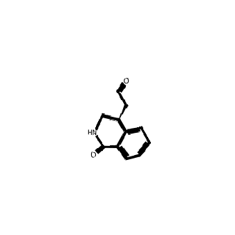 O=CC[C@@H]1CNC(=O)c2ccccc21